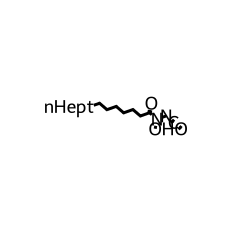 CCCCCCCCCCCCCC(=O)N(O)N=C=O